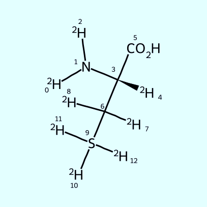 [2H]N([2H])[C@]([2H])(C(=O)O)C([2H])([2H])S([2H])([2H])[2H]